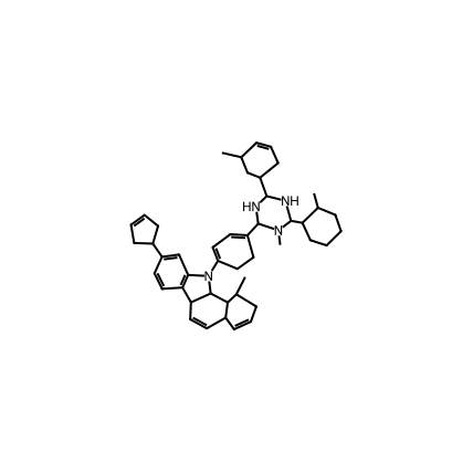 CC1C=CCC(C2NC(C3=CC=C(N4c5cc(C6CC=CC6)ccc5C5C=CC6C=CCC(C)C6C54)CC3)N(C)C(C3CCCCC3C)N2)C1